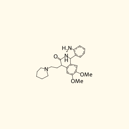 COc1cc2c(cc1OC)C(c1ccccc1N)NC(=O)C2CCN1CCCCC1